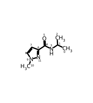 CC(C)NC(=O)c1ccn(C)n1